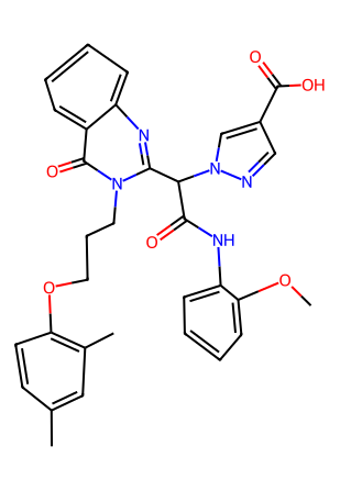 COc1ccccc1NC(=O)C(c1nc2ccccc2c(=O)n1CCCOc1ccc(C)cc1C)n1cc(C(=O)O)cn1